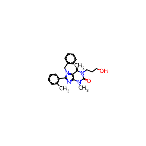 C=C1c2c(nc(-c3ccccc3C)n2Cc2ccccc2)N(C)C(=O)N1CCCO